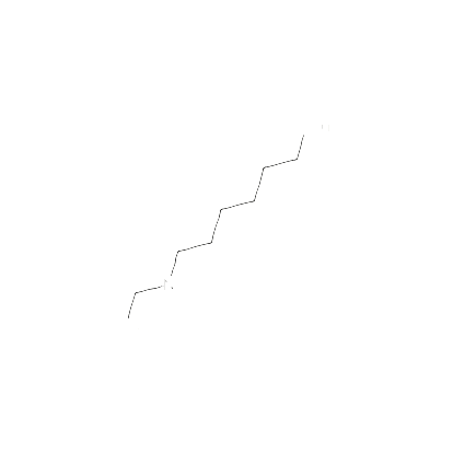 CC(C)(C)CCCCCCNCC(C)(C)C